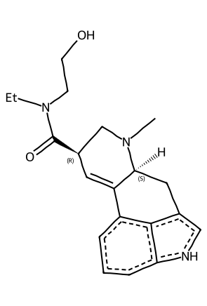 CCN(CCO)C(=O)[C@@H]1C=C2c3cccc4[nH]cc(c34)C[C@@H]2N(C)C1